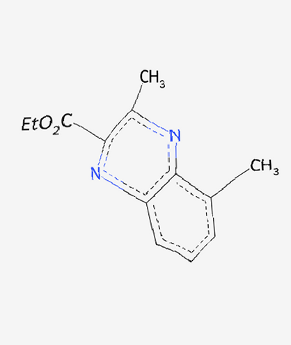 CCOC(=O)c1nc2cccc(C)c2nc1C